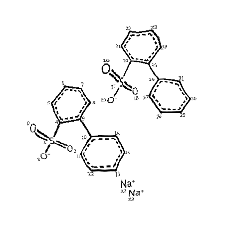 O=S(=O)([O-])c1ccccc1-c1ccccc1.O=S(=O)([O-])c1ccccc1-c1ccccc1.[Na+].[Na+]